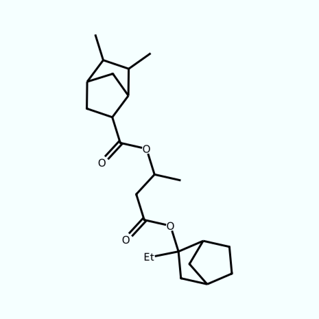 CCC1(OC(=O)CC(C)OC(=O)C2CC3CC2C(C)C3C)CC2CCC1C2